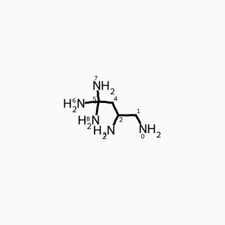 NCC(N)CC(N)(N)N